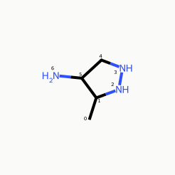 CC1NNCC1N